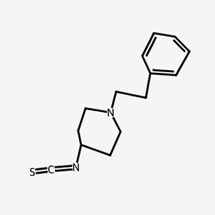 S=C=NC1CCN(CCc2ccccc2)CC1